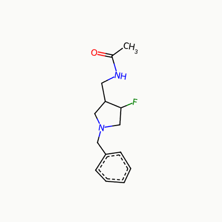 CC(=O)NCC1CN(Cc2ccccc2)CC1F